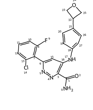 NC(=O)c1nnc(-c2c(F)cccc2Cl)cc1Nc1ccc(C2COC2)cc1